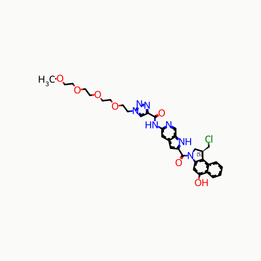 COCCOCCOCCOCCn1cc(C(=O)Nc2cc3cc(C(=O)N4C[C@@H](CCl)c5c4cc(O)c4ccccc54)[nH]c3cn2)nn1